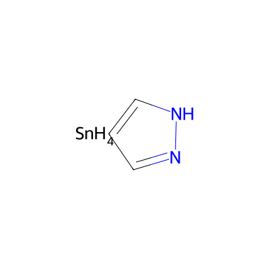 [SnH4].c1cn[nH]c1